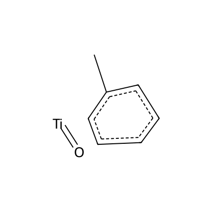 Cc1ccccc1.[O]=[Ti]